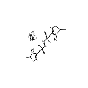 CC1CN=C(C(C)(C)/N=N/C(C)(C)C2=NCC(C)N2)N1.Cl.Cl